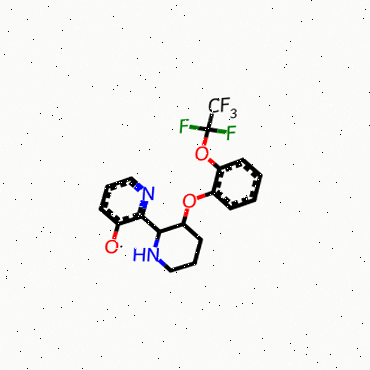 [O]c1cccnc1C1NCCCC1Oc1ccccc1OC(F)(F)C(F)(F)F